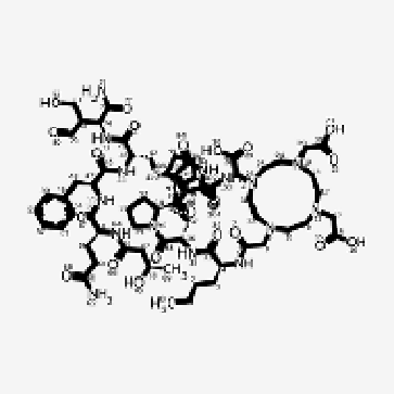 CCCC[C@H](NC(=O)CN1CCN(CC(=O)O)CCN(CC(=O)O)CCN(CC(=O)O)CC1)C(=O)N[C@@H](CSC1=C(SC[C@H](NC(=O)[C@H](Cc2ccccc2)NC(=O)[C@H](CCC(N)=O)NC(=O)C[C@@H](C)O)C(=O)N[C@H](C(N)=O)C(C=O)CO)C(=O)NC1=O)C(=O)N1CCC[C@H]1C(=O)N1CCC[C@H]1C(N)=O